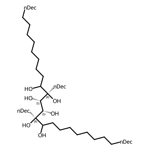 CCCCCCCCCCCCCCCCCCC(O)[C@](O)(CCCCCCCCCC)[C@@H](O)[C@H](O)[C@@](O)(CCCCCCCCCC)C(O)CCCCCCCCCCCCCCCCCC